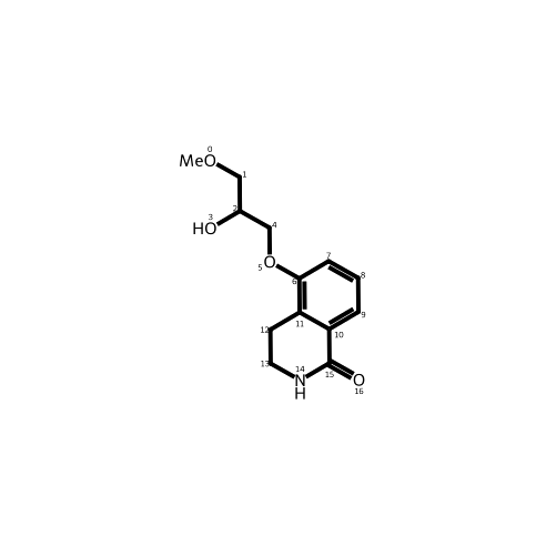 COCC(O)COc1cccc2c1CCNC2=O